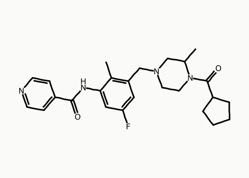 Cc1c(CN2CCN(C(=O)C3CCCC3)C(C)C2)cc(F)cc1NC(=O)c1ccncc1